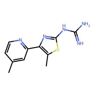 Cc1ccnc(-c2nc(NC(=N)N)sc2C)c1